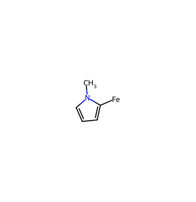 Cn1ccc[c]1[Fe]